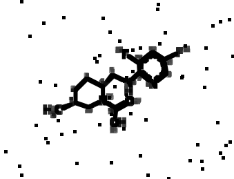 C[C@H]1CC[C@@H](CNc2ncc(F)cc2F)N(C(=O)O)C1